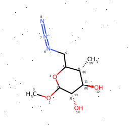 COC1OC(CN=[N+]=[N-])[C@H](C)[C@@H](O)[C@@H]1O